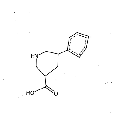 O=C(O)C1CNCC(c2ccccc2)C1